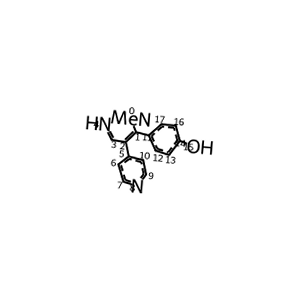 CN/C(=C(\C=N)c1ccncc1)c1ccc(O)cc1